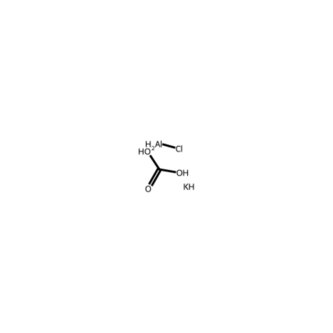 O=C(O)O.[AlH2][Cl].[KH]